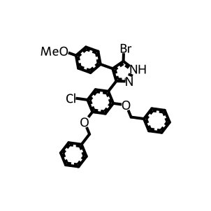 COc1ccc(-c2c(-c3cc(Cl)c(OCc4ccccc4)cc3OCc3ccccc3)n[nH]c2Br)cc1